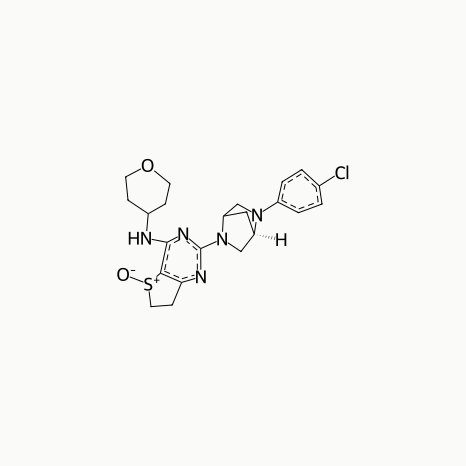 [O-][S+]1CCc2nc(N3C[C@H]4CC3CN4c3ccc(Cl)cc3)nc(NC3CCOCC3)c21